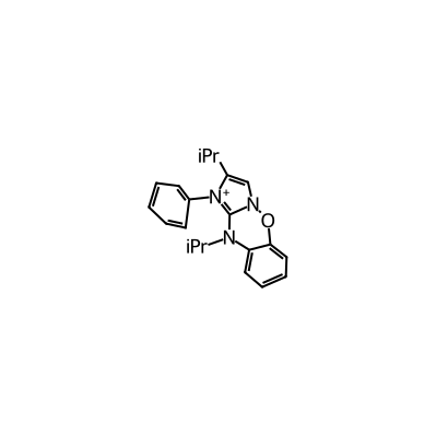 CC(C)c1cn2c([n+]1-c1ccccc1)N(C(C)C)c1ccccc1O2